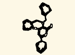 O=c1oc(-c2ccccc2)cc(O)c1N(Cc1ccccc1)Cc1ccccc1